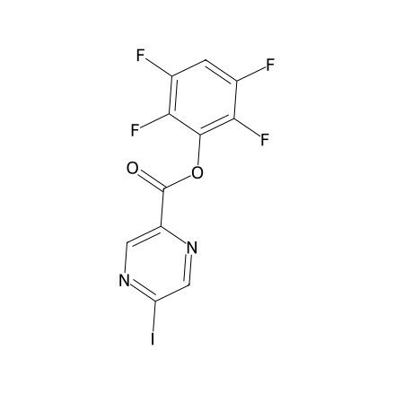 O=C(Oc1c(F)c(F)cc(F)c1F)c1cnc(I)cn1